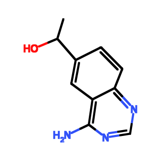 CC(O)c1ccc2ncnc(N)c2c1